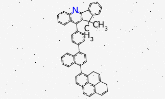 CC1(C)c2ccccc2-c2nc3ccccc3c(-c3ccc(-c4ccc(-c5ccc6ccc7c8c6c5CC=C8CC=C7)c5ccccc45)cc3)c21